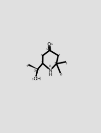 C[C@H](O)C1CC(=O)CC(C)(C)N1